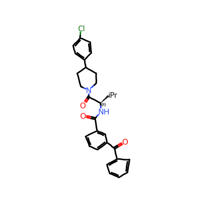 CC(C)[C@@H](NC(=O)c1cccc(C(=O)c2ccccc2)c1)C(=O)N1CCC(c2ccc(Cl)cc2)CC1